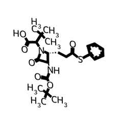 CC(C)(C)OC(=O)N[C@@H]1C(=O)N(C(C(=O)O)C(C)(C)C)[C@@H]1CCC(=O)Sc1ccccc1